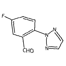 O=Cc1cc(F)ccc1-n1nccn1